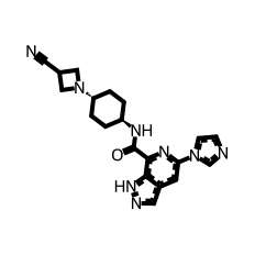 N#CC1CN([C@H]2CC[C@H](NC(=O)c3nc(-n4ccnc4)cc4cn[nH]c34)CC2)C1